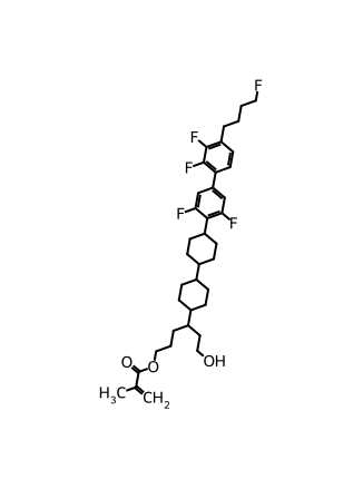 C=C(C)C(=O)OCCCC(CCO)C1CCC(C2CCC(c3c(F)cc(-c4ccc(CCCCF)c(F)c4F)cc3F)CC2)CC1